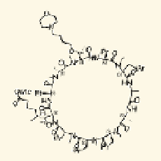 CC[C@@H]1NC(=O)[C@@H]2[C@@H](C(C)CCCC(=O)OC)ON2C(=O)C(C(C)C)N(C)C(=O)[C@H](CC(C)C)N(C)C(=O)[C@H](CC(C)C)N(C)C(=O)[C@@H](C)NC(=O)C(C)NC(=O)[C@H](CC(C)C)N(C)C(=O)[C@H](C(C)C)NC(=O)[C@H]([C@@H](C)OCCCCN2CCOCC2)N(C)C(=O)[C@@H](C)N(C)C1=O